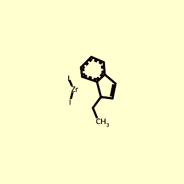 CC[C]1C=Cc2ccccc21.[I][Zr][I]